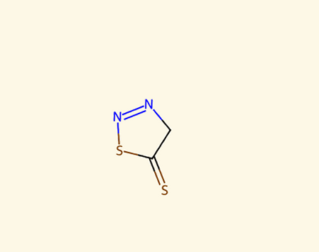 S=C1CN=NS1